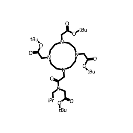 CC(C)CN(CC(=O)OC(C)(C)C)C(=O)CN1CCN(CC(=O)OC(C)(C)C)CCN(CC(=O)OC(C)(C)C)CCN(CC(=O)OC(C)(C)C)CC1